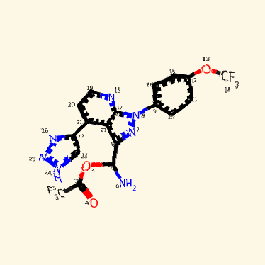 NC(OC(=O)C(F)(F)F)c1nn(-c2ccc(OC(F)(F)F)cc2)c2nccc(-c3c[nH]nn3)c12